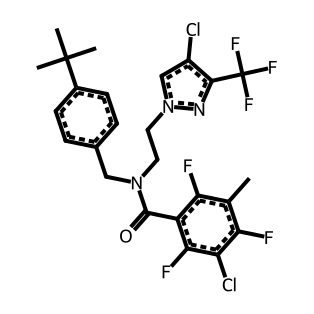 Cc1c(F)c(Cl)c(F)c(C(=O)N(CCn2cc(Cl)c(C(F)(F)F)n2)Cc2ccc(C(C)(C)C)cc2)c1F